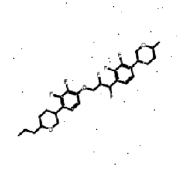 CCCC1CCC(c2ccc(OCC(F)C(F)c3ccc(C4CCC(C)OC4)c(F)c3F)c(F)c2F)CO1